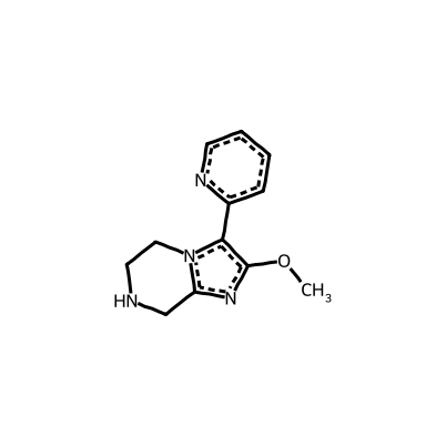 COc1nc2n(c1-c1ccccn1)CCNC2